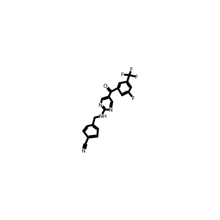 N#Cc1ccc(CNc2ncc(C(=O)c3cc(F)cc(C(F)(F)F)c3)cn2)cc1